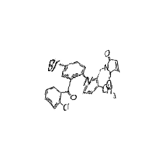 Cc1ccn(-c2ccc(Br)cc2C(=O)c2ccccc2Cl)c1CN1C(=O)C=CC1=O